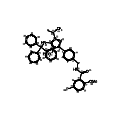 CCOC(=O)c1c(-c2ccc(CNC(=O)c3cc(F)ccc3OC)cc2)nn([C@@H](C)C(F)(F)F)c1NC(c1ccccc1)(c1ccccc1)c1ccccc1